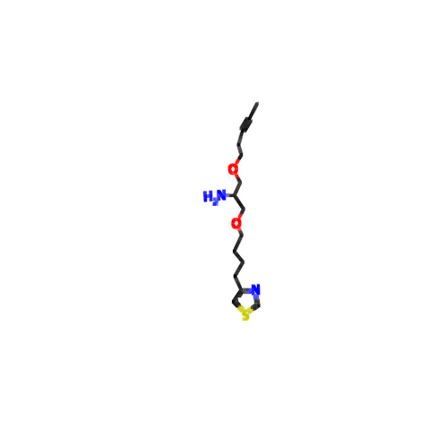 CC#CCCOCC(N)COCCCCc1cscn1